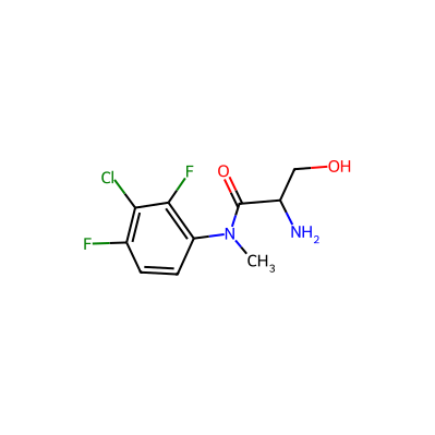 CN(C(=O)C(N)CO)c1ccc(F)c(Cl)c1F